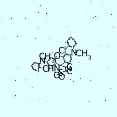 CN(c1ccc2c(c1)Oc1cc(N(C)c3ccccc3Cl)ccc1C21NS(=O)(=O)c2ccccc21)c1ccccc1Cl